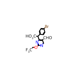 O=Cc1cnc(OCC(F)(F)F)nc1C(C(=O)O)c1ccc(Br)cc1